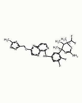 Cc1nnc(COc2cnc3c(Nc4cc(F)c(F)c([C@@]5(C)N=C(N)S[C@](C)(C(F)F)C5C)c4)nccc3n2)s1